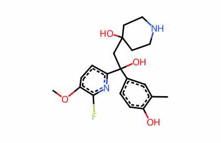 COc1ccc(C(O)(CC2(O)CCNCC2)c2ccc(O)c(C)c2)nc1F